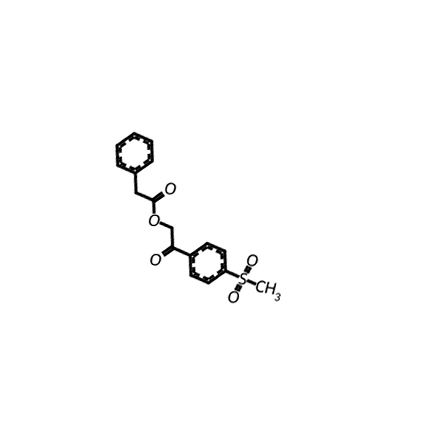 CS(=O)(=O)c1ccc(C(=O)COC(=O)Cc2ccccc2)cc1